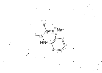 CN(Nc1ccccc1)C(=S)[S-].[Na+]